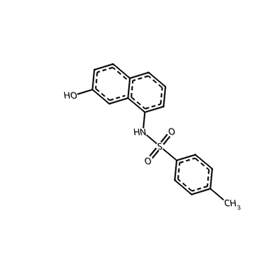 Cc1ccc(S(=O)(=O)Nc2cccc3ccc(O)cc23)cc1